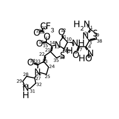 Nc1nc(/C(=N/O)C(=O)N[C@@H]2C(=O)N3C(C(=O)OC(=O)C(F)(F)F)=C(C=C4CCN(C5CCNCC5)C4=O)CS[C@H]23)cs1